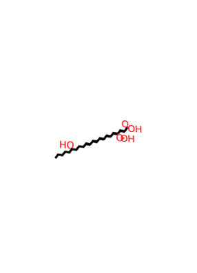 CCCCC[C@H](O)CCCC=CC=CC=CC=CC=C(C=CC(=O)O)OO